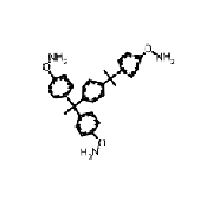 CC(C)(c1ccc(ON)cc1)c1ccc(C(C)(c2ccc(ON)cc2)c2ccc(ON)cc2)cc1